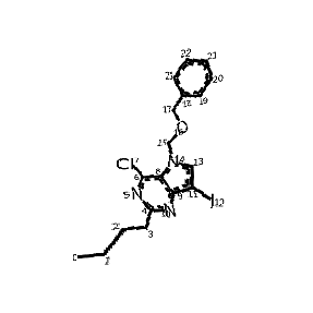 CCCCc1nc(Cl)c2c(n1)c(I)cn2COCc1ccccc1